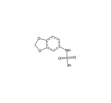 CC(C)S(=O)(=O)Nc1ccc2c(c1)OCO2